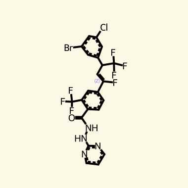 O=C(NNc1ncccn1)c1ccc(/C(F)=C/C(c2cc(Cl)cc(Br)c2)C(F)(F)F)cc1C(F)(F)F